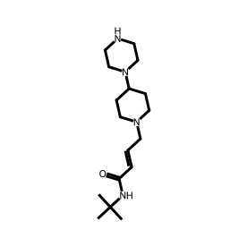 CC(C)(C)NC(=O)/C=C/CN1CCC(N2CCNCC2)CC1